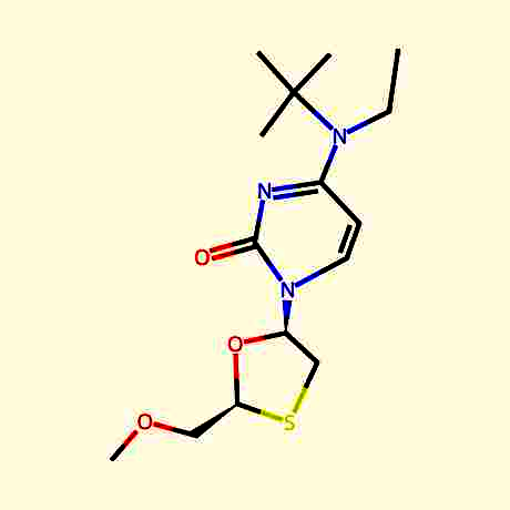 CCN(c1ccn([C@H]2CS[C@@H](COC)O2)c(=O)n1)C(C)(C)C